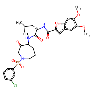 COc1cc2cc(C(=O)N[C@@H](CC(C)C)C(=O)NC3CCCN(S(=O)(=O)c4cccc(Cl)c4)CC3=O)oc2cc1OC